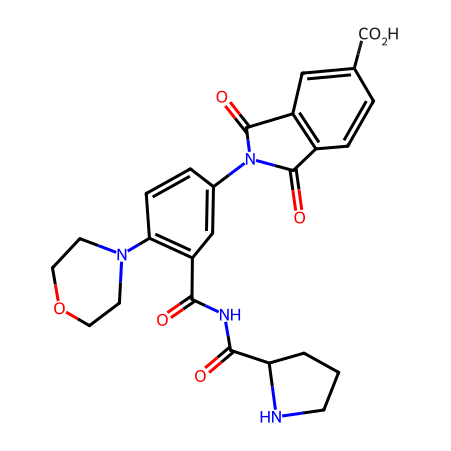 O=C(O)c1ccc2c(c1)C(=O)N(c1ccc(N3CCOCC3)c(C(=O)NC(=O)C3CCCN3)c1)C2=O